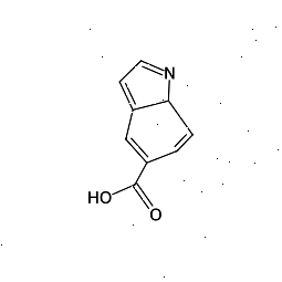 O=C(O)C1=CC2=CC=NC2C=C1